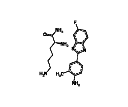 Cc1cc(-c2nc3ccc(F)cc3s2)ccc1N.NCCCC[C@H](N)C(N)=O